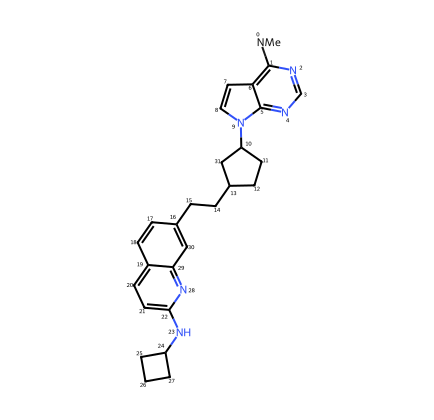 CNc1ncnc2c1ccn2C1CCC(CCc2ccc3ccc(NC4CCC4)nc3c2)C1